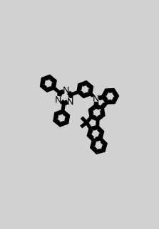 CC1(C)c2cc3ccccc3cc2-c2cc3c4ccccc4n(-c4cccc(-c5nc(-c6ccccc6)nc(-c6ccccc6)n5)c4)c3cc21